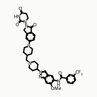 COc1cc2nn(C3CCN(CC4CCN(c5ccc6c(c5)CN(N5CCC(=O)NC5=O)C6=O)CC4)CC3)cc2cc1NC(=O)c1cccc(C(F)(F)F)c1